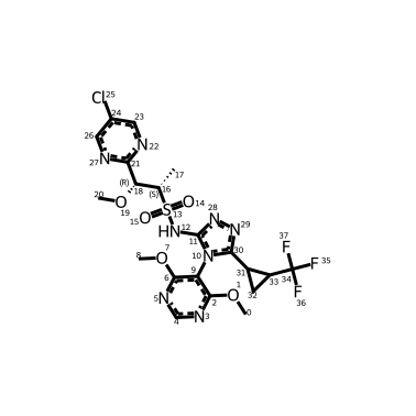 COc1ncnc(OC)c1-n1c(NS(=O)(=O)[C@@H](C)[C@H](OC)c2ncc(Cl)cn2)nnc1C1CC1C(F)(F)F